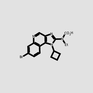 CCN(C(=O)O)c1nc2cnc3cc(Br)ccc3c2n1C1CCC1